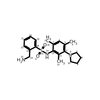 Cc1cc(C)c(N2CCCC2)c(C)c1NS(=O)(=O)c1ccccc1CN